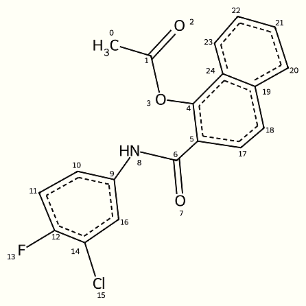 CC(=O)Oc1c(C(=O)Nc2ccc(F)c(Cl)c2)ccc2ccccc12